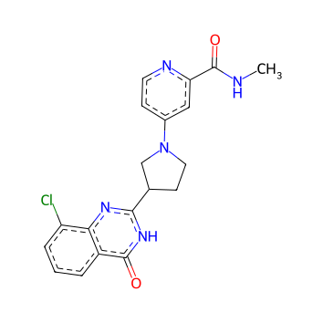 CNC(=O)c1cc(N2CCC(c3nc4c(Cl)cccc4c(=O)[nH]3)C2)ccn1